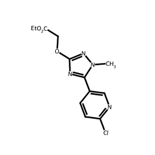 CCOC(=O)COc1nc(-c2ccc(Cl)nc2)n(C)n1